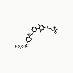 Cc1cc(OCCCS(C)(=O)=O)cc(C)c1-c1cccc(CNc2ccc([C@H]3C[C@@H]3C(=O)O)cn2)c1